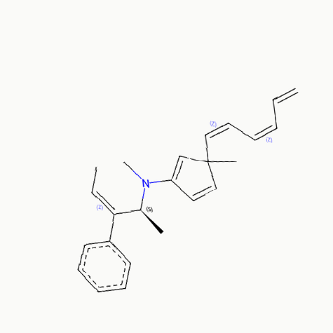 C=C/C=C\C=C/C1(C)C=CC(N(C)[C@@H](C)/C(=C\C)c2ccccc2)=C1